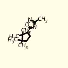 Cc1noc([C@H]2CCC(C)(C)C2(C)C)n1